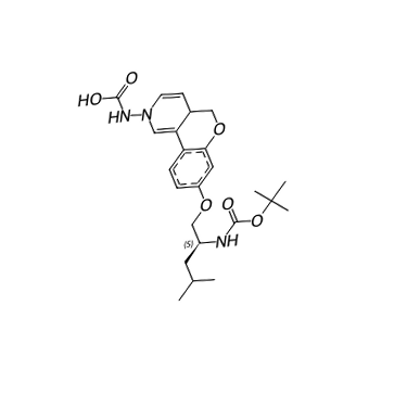 CC(C)C[C@@H](COc1ccc2c(c1)OCC1C=CN(NC(=O)O)C=C21)NC(=O)OC(C)(C)C